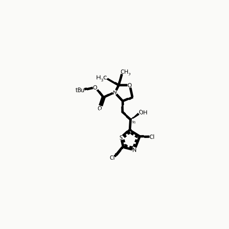 CC(C)(C)OC(=O)N1C(C[C@@H](O)c2sc(Cl)nc2Cl)COC1(C)C